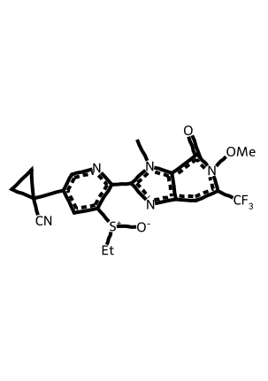 CC[S+]([O-])c1cc(C2(C#N)CC2)cnc1-c1nc2cc(C(F)(F)F)n(OC)c(=O)c2n1C